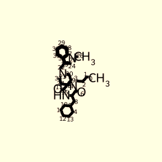 CCCCN1C(=O)C(CC2CCCCC2)NC(=O)C12CCN(Cc1cn(C)c3ccccc13)CC2